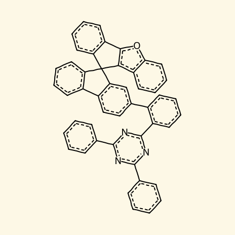 c1ccc(-c2nc(-c3ccccc3)nc(-c3ccccc3-c3ccc4c(c3)C3(c5ccccc5-4)c4ccccc4-c4oc5ccccc5c43)n2)cc1